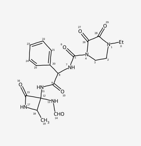 CCN1CCN(C(=O)NC(C(=O)NC2(NC=O)C(=O)NC2C)c2ccccc2)C(=O)C1=O